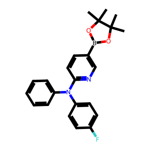 CC1(C)OB(c2ccc(N(c3ccccc3)c3ccc(F)cc3)nc2)OC1(C)C